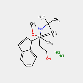 C[O][Ti]([CH3])(=[SiH2])([CH2]CO)([NH]C(C)(C)C)[CH]1C=Cc2ccccc21.Cl.Cl